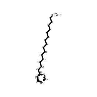 CCCCCCCCCCCCCCCCCCCCCCCC[CH]c1ncncn1